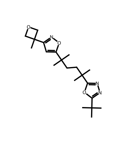 CC(C)(C)c1nnc(C(C)(C)CCC(C)(C)c2cc(C3(C)COC3)no2)o1